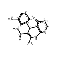 COC(=O)C1=C(C)Nc2nc[nH]c(=O)c2C1c1cccc([N+](=O)[O-])c1